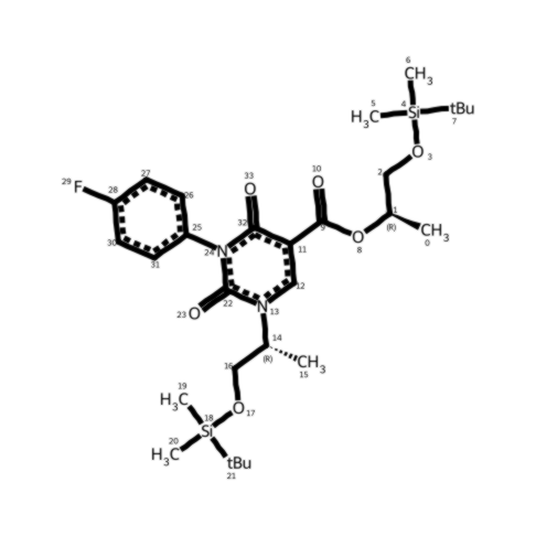 C[C@H](CO[Si](C)(C)C(C)(C)C)OC(=O)c1cn([C@H](C)CO[Si](C)(C)C(C)(C)C)c(=O)n(-c2ccc(F)cc2)c1=O